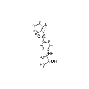 CC(O)C(=O)Nc1ccc(-c2nc3c(F)cccc3o2)cc1